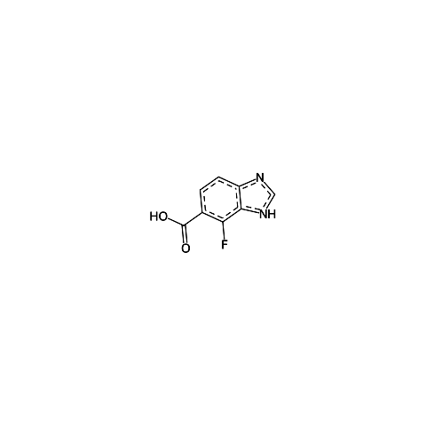 O=C(O)c1ccc2nc[nH]c2c1F